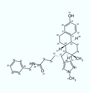 Cn1cc2c(n1)[C@@]1(C)CC[C@@H]3c4ccc(O)cc4CC[C@H]3[C@@H]1[C@H]2CCCC(=O)NCc1ccccc1